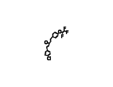 O=C(C=Cc1ccc(Cl)cc1)C=Cc1ccc(OC(F)=C(F)F)cc1